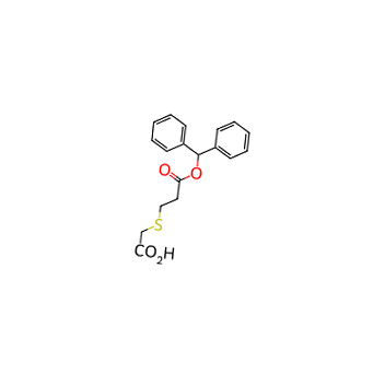 O=C(O)CSCCC(=O)OC(c1ccccc1)c1ccccc1